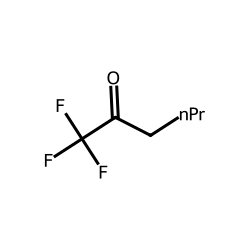 CCCCC(=O)C(F)(F)F